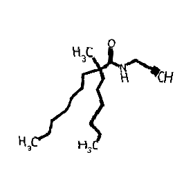 C#CCNC(=O)C(C)(CCCCCC)CCCCCCC